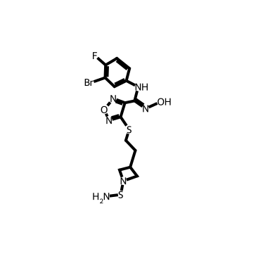 NSN1CC(CCSc2nonc2/C(=N/O)Nc2ccc(F)c(Br)c2)C1